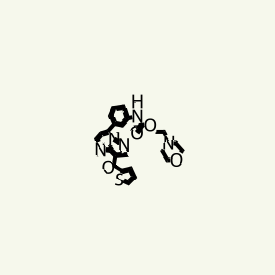 O=C(Nc1cccc(-c2ccnc3c(C(=O)c4cccs4)cnn23)c1)OCCN1CCOCC1